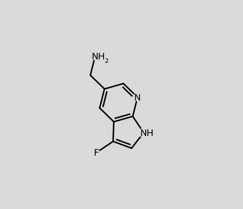 NCc1cnc2[nH]cc(F)c2c1